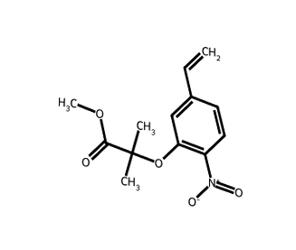 C=Cc1ccc([N+](=O)[O-])c(OC(C)(C)C(=O)OC)c1